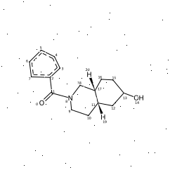 O=C(c1ccccc1)N1CC[C@H]2CC(O)CC[C@H]2C1